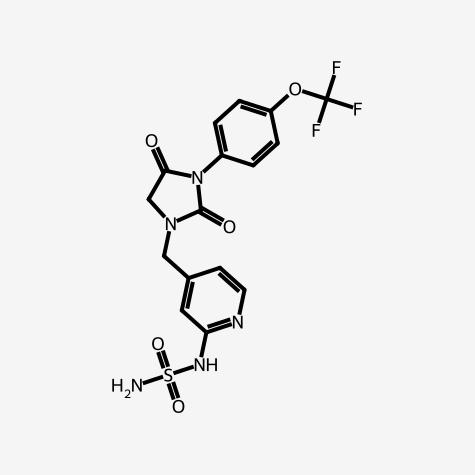 NS(=O)(=O)Nc1cc(CN2CC(=O)N(c3ccc(OC(F)(F)F)cc3)C2=O)ccn1